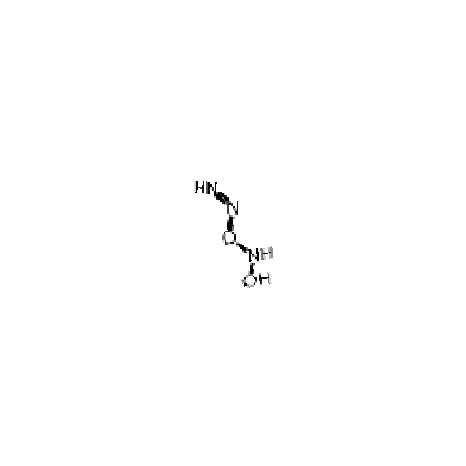 N=NONO